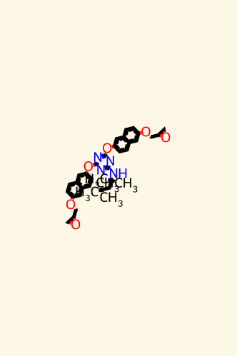 CC(C)(C)CC(C)(C)Nc1nc(Oc2ccc3cc(OCC4CO4)ccc3c2)nc(Oc2ccc3cc(OCC4CO4)ccc3c2)n1